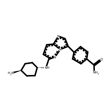 NC(=O)c1ccc(-c2cnc3ccc(N[C@H]4CC[C@H](N)CC4)nn23)cc1